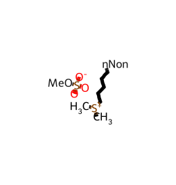 CCCCCCCCCCCCCC[S+](C)C.COS(=O)(=O)[O-]